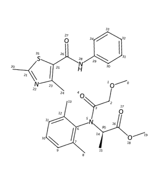 COCC(=O)N(c1c(C)cccc1C)[C@H](C)C(=O)OC.Cc1nc(C)c(C(=O)Nc2ccccc2)s1